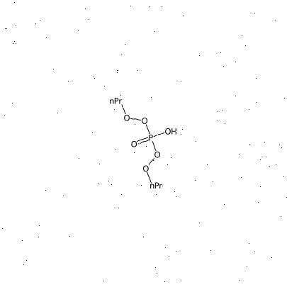 CCCOOP(=O)(O)OOCCC